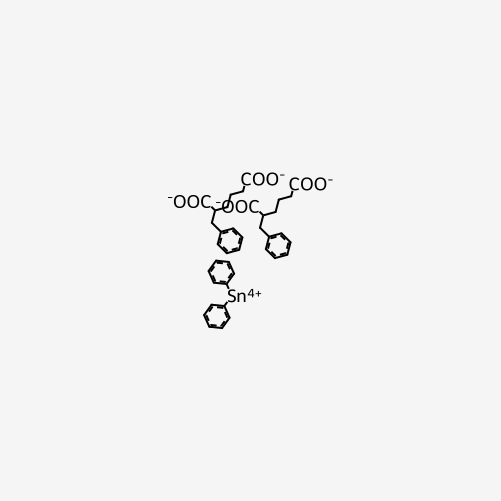 O=C([O-])CCCC(Cc1ccccc1)C(=O)[O-].O=C([O-])CCCC(Cc1ccccc1)C(=O)[O-].c1cc[c]([Sn+4][c]2ccccc2)cc1